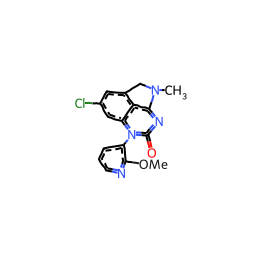 COc1ncccc1-n1c(=O)nc2c3c(cc(Cl)cc31)CN2C